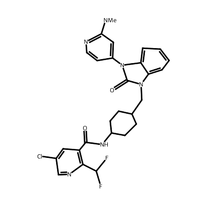 CNc1cc(-n2c(=O)n(CC3CCC(NC(=O)c4cc(Cl)cnc4C(F)F)CC3)c3ccccc32)ccn1